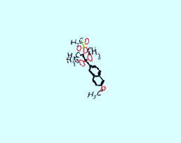 COc1ccc2cc(C(OC)(OC)C(C)OS(C)(=O)=O)ccc2c1